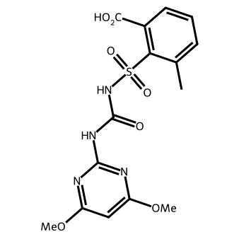 COc1cc(OC)nc(NC(=O)NS(=O)(=O)c2c(C)cccc2C(=O)O)n1